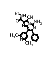 CCNC(=O)c1nc2c(-c3cc(C)nc(C)c3)c(-c3ccccc3)nc(N)n2c1C#N